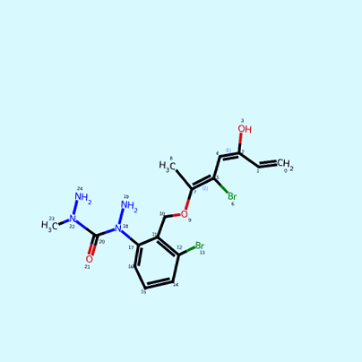 C=C/C(O)=C\C(Br)=C(/C)OCc1c(Br)cccc1N(N)C(=O)N(C)N